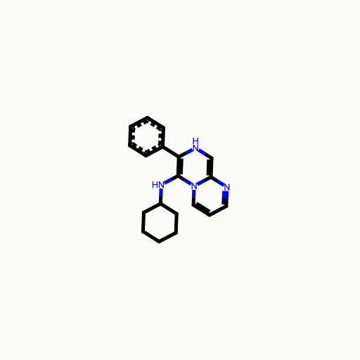 C1=CN2C(=CNC(c3ccccc3)=C2NC2CCCCC2)N=C1